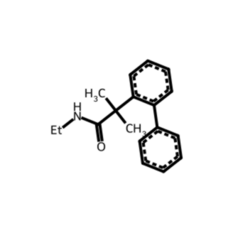 CCNC(=O)C(C)(C)c1ccccc1-c1ccccc1